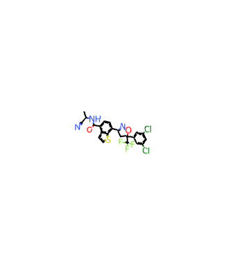 CC(C#N)NC(=O)c1ccc(C2=NOC(c3cc(Cl)cc(Cl)c3)(C(F)(F)F)C2)c2sccc12